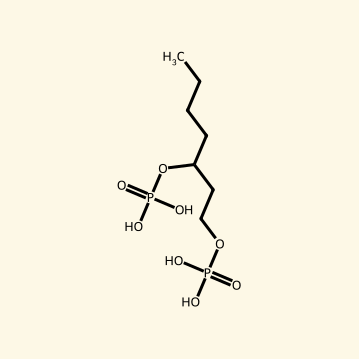 CCCCC(CCOP(=O)(O)O)OP(=O)(O)O